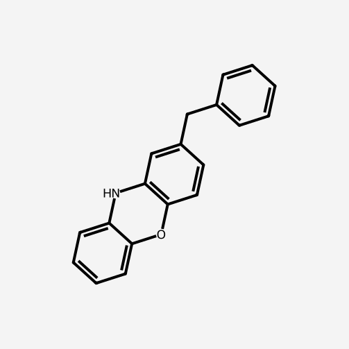 c1ccc(Cc2ccc3c(c2)Nc2ccccc2O3)cc1